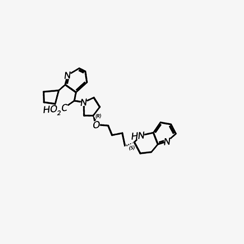 O=C(O)C(c1cccnc1C1CCC1)N1CC[C@@H](OCCCC[C@H]2CCc3ncccc3N2)C1